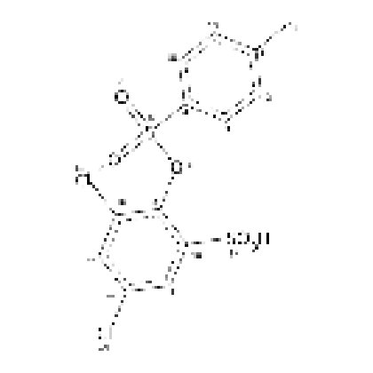 Cc1ccc(S(=O)(=O)Oc2c(Cl)cc(Cl)cc2S(=O)(=O)O)cc1